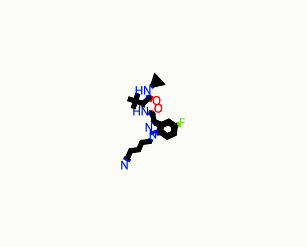 CC(C)(C)[C@H](NC(=O)c1nn(CCCCC#N)c2ccc(F)cc12)C(=O)NC1CC1